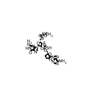 COP(=O)(S)OC[C@H]1O[C@@H](n2cnc3c(=O)[nH]c(N)nc32)[C@H](OP(=O)(S)OC[C@]23CC[C@H](C2)[C@H](n2cnc4c(N)ncnc42)O3)[C@H]1F